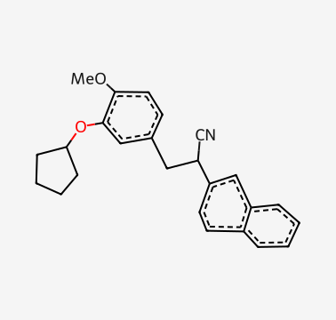 COc1ccc(CC(C#N)c2ccc3ccccc3c2)cc1OC1CCCC1